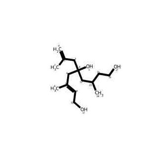 C=C(C)CC(O)(CC(C)=CCO)CC(C)CCO